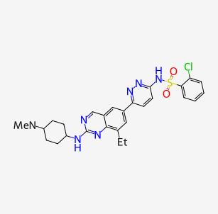 CCc1cc(-c2ccc(NS(=O)(=O)c3ccccc3Cl)nn2)cc2cnc(NC3CCC(NC)CC3)nc12